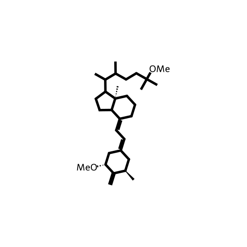 C=C1[C@H](C)C/C(=C/C=C2\CCC[C@@]3(C)C2CCC3C(C)C(C)CCC(C)(C)OC)C[C@H]1OC